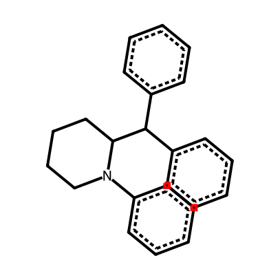 c1ccc(C(c2ccccc2)C2CCCCN2c2ccccc2)cc1